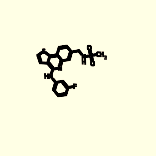 CS(=O)(=O)NCc1ccc2c(c1)nc(Nc1cccc(F)c1)c1ccsc12